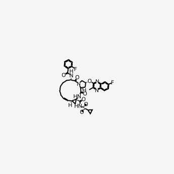 Cc1nc2ccc(F)cc2nc1O[C@@H]1C[C@H]2C(=O)N[C@]3(C(=O)NS(=O)(=O)C4CC4)C[C@H]3/C=C\CCCCC[C@H](NC(=O)c3ccccc3F)C(=O)N2C1